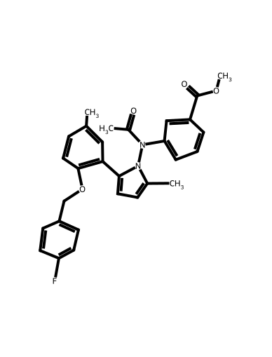 COC(=O)c1cccc(N(C(C)=O)n2c(C)ccc2-c2cc(C)ccc2OCc2ccc(F)cc2)c1